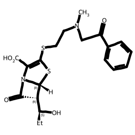 CC[C@H](O)[C@@H]1C(=O)N2C(C(=O)O)=C(SCCN(C)CC(=O)c3ccccc3)S[C@H]12